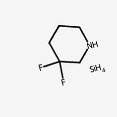 FC1(F)CCCNC1.[SiH4]